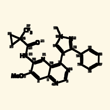 COc1cc2ncnc(-c3cn(C)nc3-c3ccccc3)c2nc1NC(=O)C1(C(F)(F)F)CC1